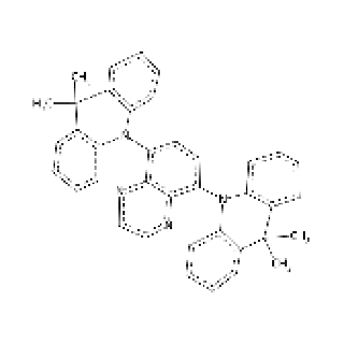 CC1(C)c2ccccc2N(c2ccc(N3c4ccccc4C(C)(C)c4ccccc43)c3nccnc23)c2ccccc21